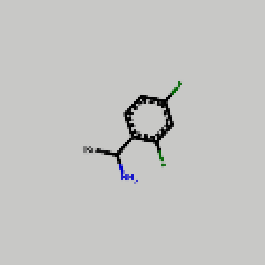 CC(C)(C)C(N)c1ccc(F)cc1F